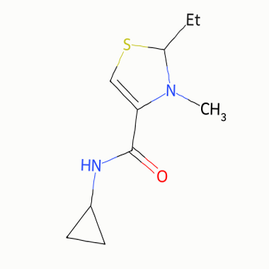 CCC1SC=C(C(=O)NC2CC2)N1C